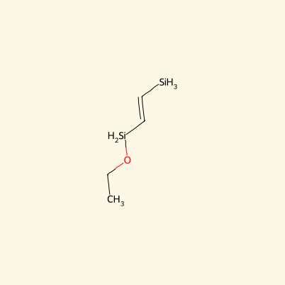 CCO[SiH2]C=C[SiH3]